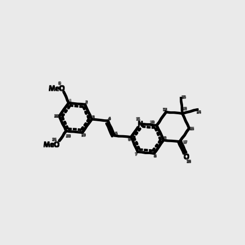 COc1cc(C=Cc2ccc3c(n2)CC(C)(C)CC3=O)cc(OC)c1